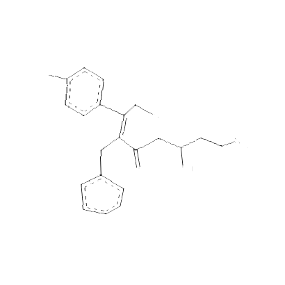 NCCC(O)CC(=O)/C(Cc1ccccc1)=C(\CS)c1ccc(Cl)cc1